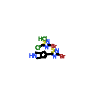 Brc1nsc(C2=CC3CNCC3C2)n1.Cl.Clc1nc(Br)ns1